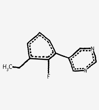 CCc1cccc(-c2cncnc2)c1F